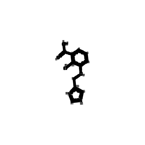 O=C(O)c1cccc(OCc2cscn2)c1Cl